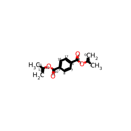 C=C(C)OC(=O)c1ccc(C(=O)OC(=C)C)cc1